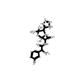 CC1(C)S[C@@H]2C(NC(=O)C(N)c3cccc(Br)c3)C(=O)N2C1c1nnn[nH]1